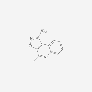 Cc1cc2ccccc2c2c(C(C)(C)C)noc12